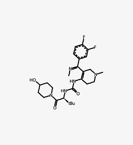 C/N=C(\C1=C(NC(=O)N[C@H](C(=O)N2CCC(O)CC2)C(C)(C)C)CCN(C)C1)c1ccc(F)c(F)c1